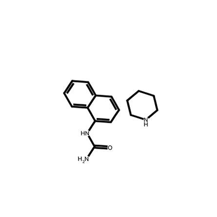 C1CCNCC1.NC(=O)Nc1cccc2ccccc12